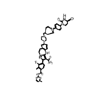 Cc1ccnc(NC(=O)c2ccc(-c3nn4c(c3C(N)=O)Nc3ccc(N5CCN(CC6CCN(c7ccc(N8CCC(=O)NC8=O)cc7)CC6)CC5)cc3CC4)c(F)c2C)n1